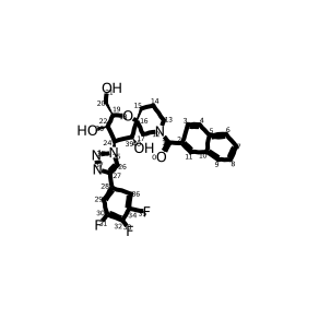 O=C(c1ccc2ccccc2c1)N1CCC[C@]2(C1)O[C@H](CO)[C@H](O)[C@H](n1cc(-c3cc(F)c(F)c(F)c3)nn1)[C@H]2O